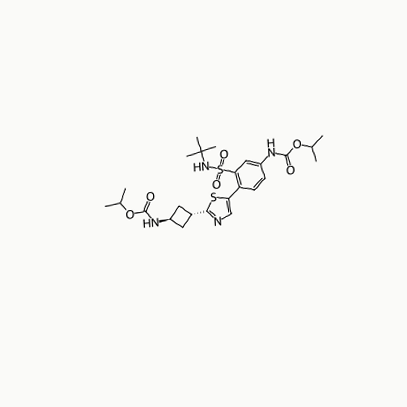 CC(C)OC(=O)Nc1ccc(-c2cnc([C@H]3C[C@H](NC(=O)OC(C)C)C3)s2)c(S(=O)(=O)NC(C)(C)C)c1